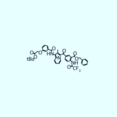 Cc1c(NC(=O)c2cccc(OCC(=O)OC(C)(C)C)c2)c2ccccn2c1C(=O)c1ccc(NC(=O)C(F)(F)F)c(C(=O)OCc2ccccc2)c1